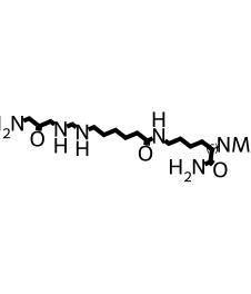 CN[C@@H](CCCCNC(=O)CCCCCNCNCC(=O)CN)C(N)=O